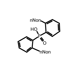 CCCCCCCCCc1ccccc1P(=O)(O)c1ccccc1CCCCCCCCC